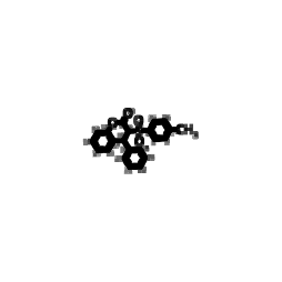 Cc1ccc(S(=O)(=O)C2C(=O)Oc3ccccc3C2c2ccccc2)cc1